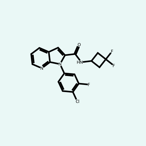 O=C(NC1CC(F)(F)C1)c1cc2cccnc2n1-c1ccc(Cl)c(F)c1